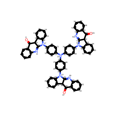 O=C1c2ccccc2N=C2C1c1ccccc1N2c1ccc(N(c2ccc(N3C4=Nc5ccccc5C(=O)C4c4ccccc43)cc2)c2ccc(N3C4=Nc5ccccc5C(=O)C4c4ccccc43)cc2)cc1